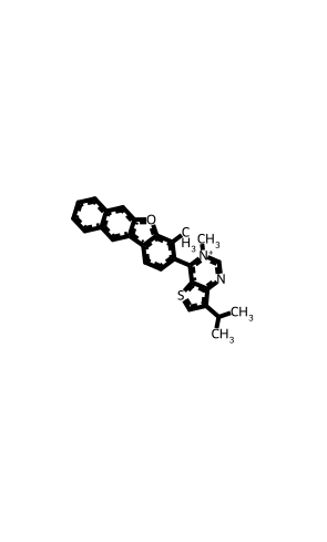 Cc1c(-c2c3scc(C(C)C)c3nc[n+]2C)ccc2c1oc1cc3ccccc3cc12